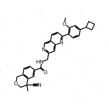 COc1cc(C2CCC2)ccc1-c1ccc2cnc(CNC(=O)c3ccc4c(c3)C(C)(C#N)COC4)cc2n1